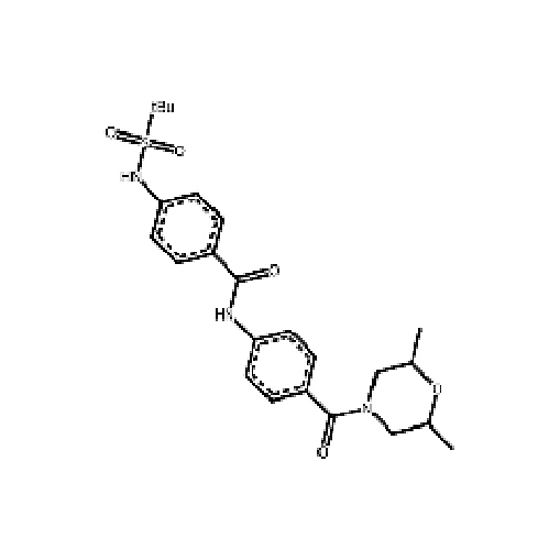 CC1CN(C(=O)c2ccc(NC(=O)c3ccc(NS(=O)(=O)C(C)(C)C)cc3)cc2)CC(C)O1